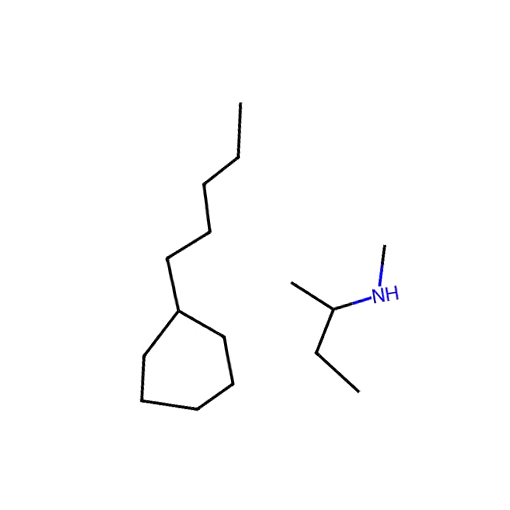 CCC(C)NC.CCCCCC1CCCCC1